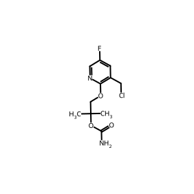 CC(C)(COc1ncc(F)cc1CCl)OC(N)=O